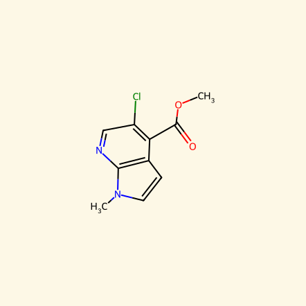 COC(=O)c1c(Cl)cnc2c1ccn2C